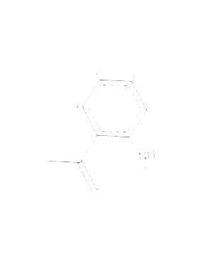 C=C(C)c1ccccc1.N